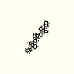 N=C1C=C(c2c3ccccc3c(-c3cnc4ccccc4c3)c3ccccc23)C=C/C1=N/Nc1ccc(-c2c3ccccc3c(-c3cnc4ccccc4c3)c3ccccc23)cc1